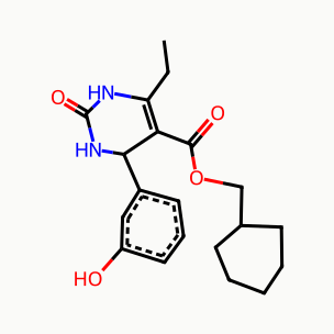 CCC1=C(C(=O)OCC2CCCCC2)C(c2cccc(O)c2)NC(=O)N1